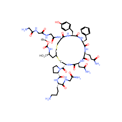 CC(C)(C)OC(=O)N[C@@H](CC1CSC[C@H](NC(=O)CNC(=O)CNC(=O)CN)C(=O)N[C@@H](Cc2ccc(O)cc2)C(=O)N[C@@H](Cc2ccccc2)C(=O)N[C@@H](CCC(N)=O)C(=O)N[C@@H](CC(N)=O)C(=O)N[C@H](C(=O)N2CCC[C@H]2C(=O)N[C@@H](CCCCN)C(=O)NCC(N)=O)CS1)C(=O)O